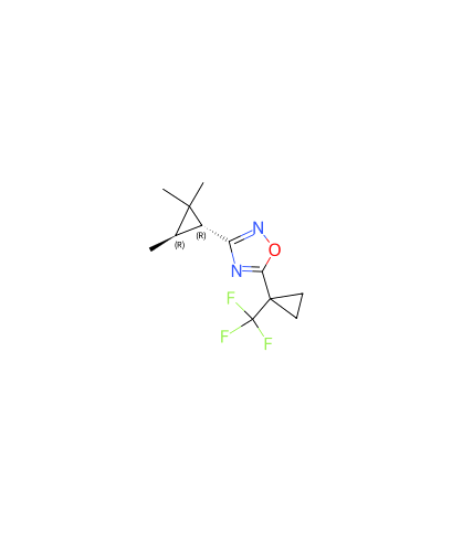 C[C@@H]1[C@@H](c2noc(C3(C(F)(F)F)CC3)n2)C1(C)C